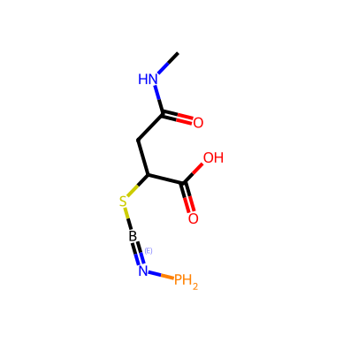 CNC(=O)CC(S/B=N/P)C(=O)O